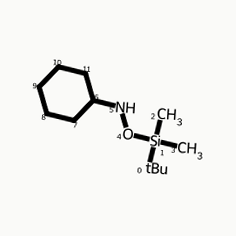 CC(C)(C)[Si](C)(C)ONC1CCCCC1